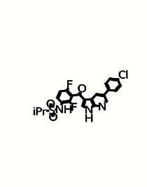 CC(C)S(=O)(=O)Nc1ccc(F)c(C(=O)c2c[nH]c3ncc(-c4ccc(Cl)cc4)cc23)c1F